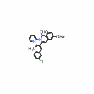 C=CC(=Cc1cccc(Cl)c1)C1=Cc2cc(OC)ccc2C(C=O)N1c1ccccn1